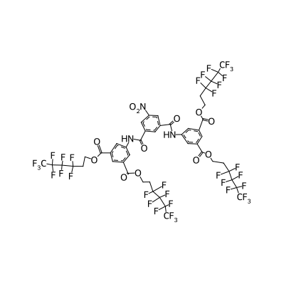 O=C(Nc1cc(C(=O)OCCC(F)(F)C(F)(F)C(F)(F)C(F)(F)F)cc(C(=O)OCCC(F)(F)C(F)(F)C(F)(F)C(F)(F)F)c1)c1cc(C(=O)Nc2cc(C(=O)OCCC(F)(F)C(F)(F)C(F)(F)C(F)(F)F)cc(C(=O)OCCC(F)(F)C(F)(F)C(F)(F)C(F)(F)F)c2)cc([N+](=O)[O-])c1